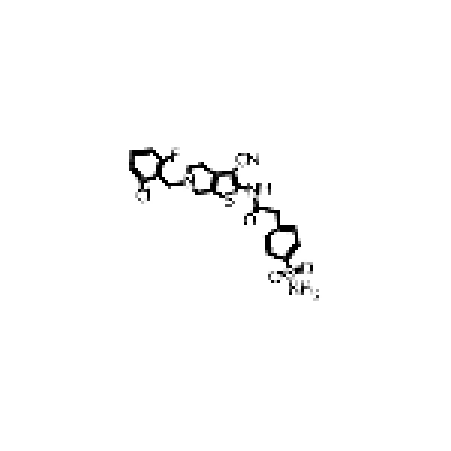 N#Cc1c(NC(=O)Cc2ccc(S(N)(=O)=O)cc2)sc2c1CCN(Cc1c(F)cccc1Cl)C2